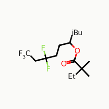 CCC(C)C(CCC(F)(F)CC(F)(F)F)OC(=O)C(C)(C)CC